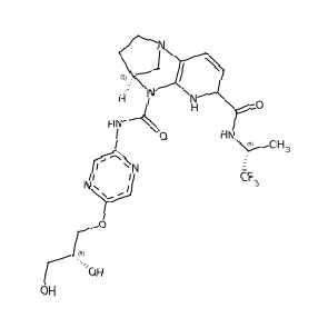 C[C@@H](NC(=O)C1C=CC2=C(N1)N(C(=O)Nc1cnc(OC[C@H](O)CO)cn1)[C@H]1CCN2C1)C(F)(F)F